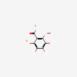 COC(=O)c1c(OC)c(O)c(O)c(O)c1OC